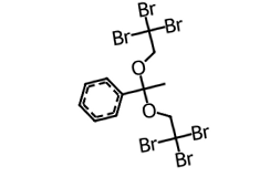 CC(OCC(Br)(Br)Br)(OCC(Br)(Br)Br)c1ccccc1